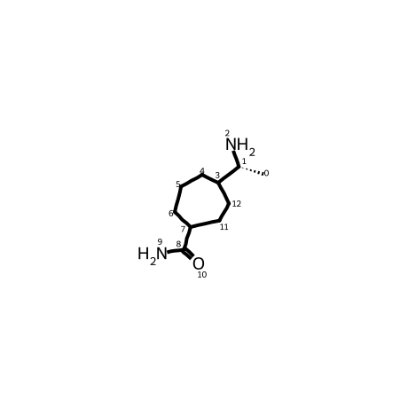 C[C@@H](N)C1CCCC(C(N)=O)CC1